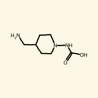 NCC1CCN(NC(=O)O)CC1